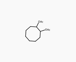 CC(=O)OC1CCCCCCC1OC(C)=O